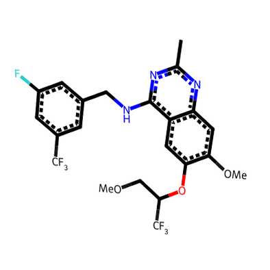 COCC(Oc1cc2c(NCc3cc(F)cc(C(F)(F)F)c3)nc(C)nc2cc1OC)C(F)(F)F